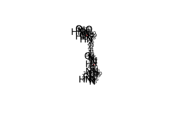 Cc1ccc(NC(=O)c2ccc(CN3CCN(C(=O)CCCCCCCNc4cccc5c4C(O)N(C4CCC(=O)NC4=O)C5=O)CC3)cc2)cc1Nc1nccc(-c2cccnc2)n1